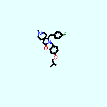 CC(C)COc1ccc(CN2C(=O)CC3(CCN(C)CC3)C2Cc2ccc(F)cc2)cc1